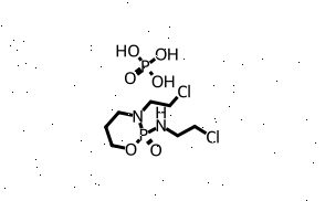 O=P(O)(O)O.O=P1(NCCCl)OCCCN1CCCl